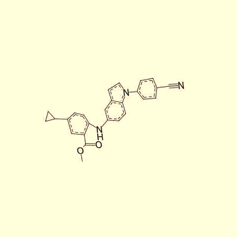 COC(=O)c1cc(C2CC2)ccc1Nc1ccc2c(ccn2-c2ccc(C#N)cc2)c1